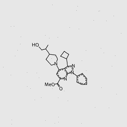 COC(=O)c1cc(N2CCC(C(C)CO)CC2)c2c(C3CCC3)nn(-c3ccccc3)c2n1